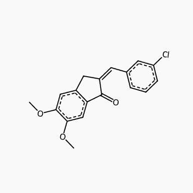 COc1cc2c(cc1OC)C(=O)C(=Cc1cccc(Cl)c1)C2